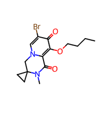 CCCCOc1c2n(cc(Br)c1=O)CC1(CC1)N(C)C2=O